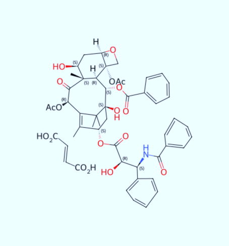 CC(=O)O[C@H]1C(=O)[C@@]2(C)[C@H]([C@H](OC(=O)c3ccccc3)[C@]3(O)C[C@H](OC(=O)[C@H](O)[C@@H](NC(=O)c4ccccc4)c4ccccc4)C(C)=C1C3(C)C)[C@]1(OC(C)=O)CO[C@@H]1C[C@@H]2O.O=C(O)C=CC(=O)O